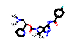 CN(C)C[C@@H](OC(=O)N1Cc2c(NC(=O)c3ccc(F)cc3)n[nH]c2C1(C)C)c1ccccn1